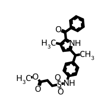 COC(=O)CCS(=O)(=O)Nc1ccc(C(C)c2cc(C)c(C(=O)c3ccccc3)[nH]2)cc1